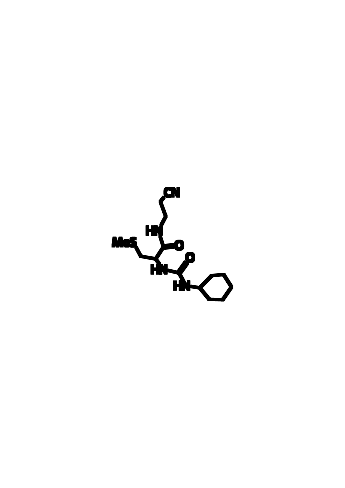 CSCC(NC(=O)NC1CCCCC1)C(=O)NCCC#N